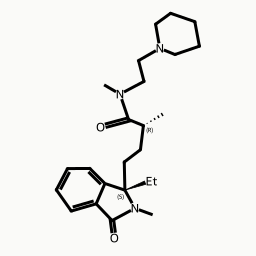 CC[C@]1(CC[C@@H](C)C(=O)N(C)CCN2CCCCC2)c2ccccc2C(=O)N1C